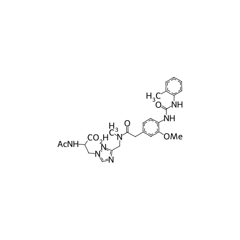 COc1cc(CC(=O)N(C)Cc2ncn(CC(NC(C)=O)C(=O)O)n2)ccc1NC(=O)Nc1ccccc1C